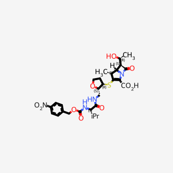 CC(C)[C@H](NC(=O)OCc1ccc([N+](=O)[O-])cc1)C(=O)NC[C@@H]1OCC[C@H]1SC1=C(C(=O)O)N2C(=O)[C@H]([C@@H](C)O)[C@H]2[C@H]1C